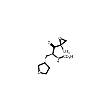 C[C@]1(C(=O)[C@H](C[C@@H]2CCOC2)NC(=O)O)CO1